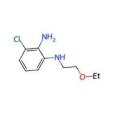 CCOCCNc1cccc(Cl)c1N